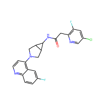 O=C(Cc1ncc(Cl)cc1F)NC1C2CN(c3ccnc4ccc(F)cc34)CC21